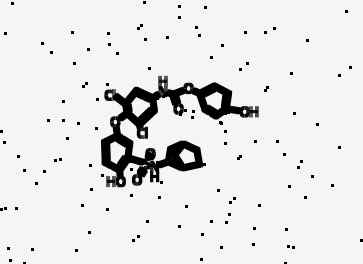 O=C(Nc1cc(Cl)c(Oc2ccc(O)c(S(=O)(=O)NC3CC4CCC3C4)c2)c(Cl)c1)Oc1ccc(O)cc1